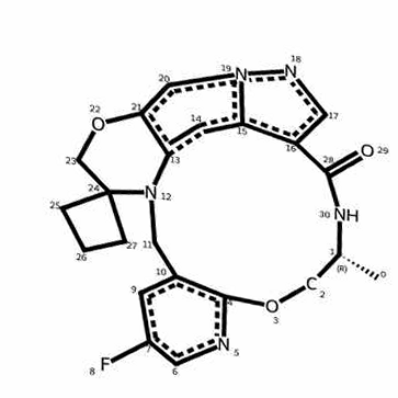 C[C@@H]1COc2ncc(F)cc2CN2c3cc4c(cnn4cc3OCC23CCC3)C(=O)N1